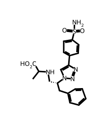 CC(NC[C@@H](Cc1ccccc1)n1cc(-c2ccc(S(N)(=O)=O)cc2)nn1)C(=O)O